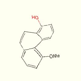 COc1cccc2ccc3c(O)cccc3c12